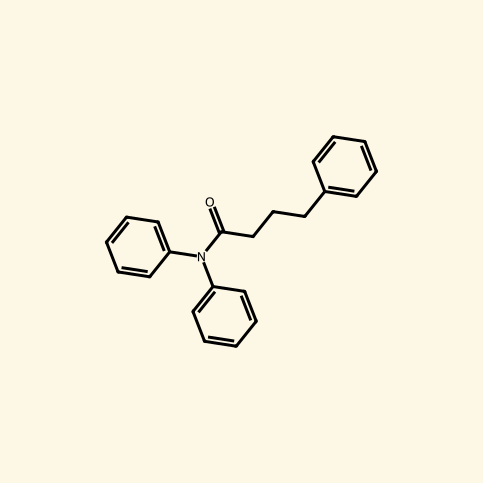 O=C(CCCc1ccccc1)N(c1ccccc1)c1ccccc1